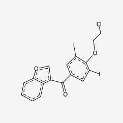 O=C(c1cc(I)c(OCCCl)c(I)c1)c1coc2ccccc12